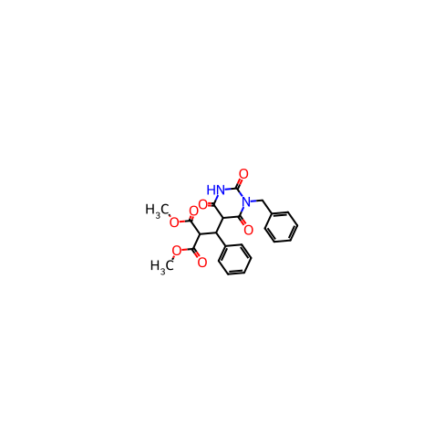 COC(=O)C(C(=O)OC)C(c1ccccc1)C1C(=O)NC(=O)N(Cc2ccccc2)C1=O